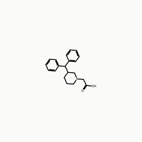 O=C(O)CN1CCCC(C(c2ccccc2)c2ccccc2)C1